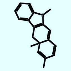 CC1=CC2(C)Cc3c(n(C)c4ccccc34)C=C2C=C1